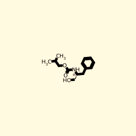 CC(C)COC(=O)N[C@@H](CO)Cc1ccccc1